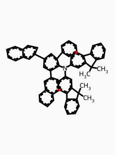 CC1(C)c2ccccc2-c2ccc(N(c3ccc4c(c3)C(C)(C)c3ccccc3-4)c3c(-c4ccccc4)cc(-c4ccc5ccccc5c4)cc3-c3ccc4ccccc4c3)cc21